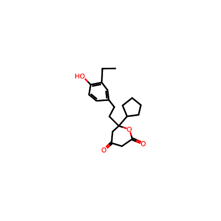 CCc1cc(CCC2(C3CCCC3)CC(=O)CC(=O)O2)ccc1O